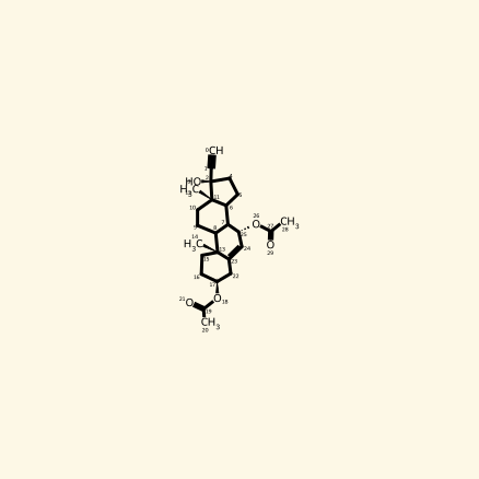 C#C[C@]1(O)CCC2C3C(CC[C@@]21C)[C@@]1(C)CC[C@H](OC(C)=O)CC1=C[C@H]3OC(C)=O